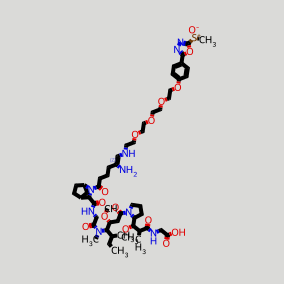 CCC(C)C(C(CC(=O)N1CCCC1C(OC)C(C)C(=O)NCC(=O)O)OC)N(C)C(=O)CNC(=O)C1C2CCC(C2)N1C(=O)CCC/C(N)=C/NCCOCCOCCOCCOc1ccc(-c2nnc([S+](C)[O-])o2)cc1